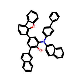 Oc1c(-c2ccc3ccccc3c2)cc(-c2cccc3c2oc2ccccc23)cc1N(c1ccc(-c2ccccc2)cc1)c1ccc2ccccc2c1